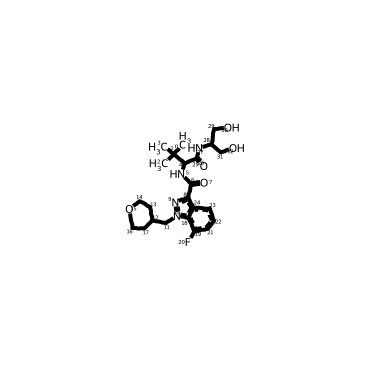 CC(C)(C)C(NC(=O)c1nn(CC2CCOCC2)c2c(F)cccc12)C(=O)NC(CO)CO